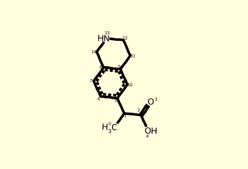 CC(C(=O)O)c1ccc2c(c1)CCNC2